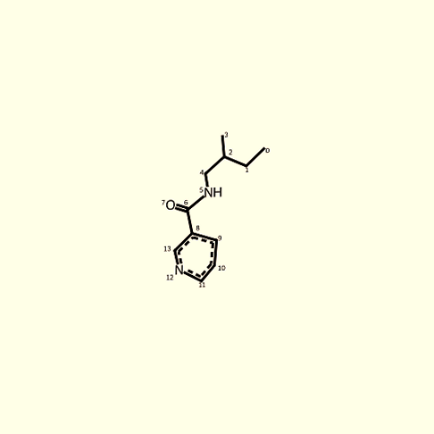 CCC(C)CNC(=O)c1cccnc1